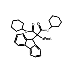 CCCCCC(C(=O)OC1CCCCC1)(C(=O)OC1CCCCC1)C1c2ccccc2-c2ccccc21